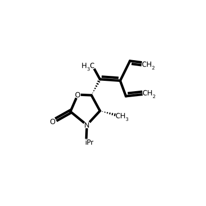 C=CC(C=C)=C(C)[C@H]1OC(=O)N(C(C)C)[C@H]1C